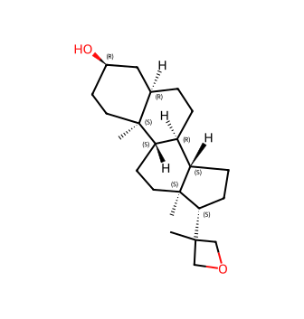 CC1([C@H]2CC[C@H]3[C@@H]4CC[C@@H]5C[C@H](O)CC[C@]5(C)[C@H]4CC[C@]23C)COC1